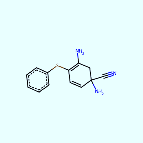 N#CC1(N)C=CC(Sc2ccccc2)=C(N)C1